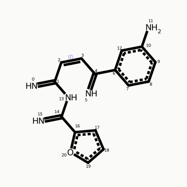 N=C(/C=C\C(=N)c1cccc(N)c1)NC(=N)c1ccco1